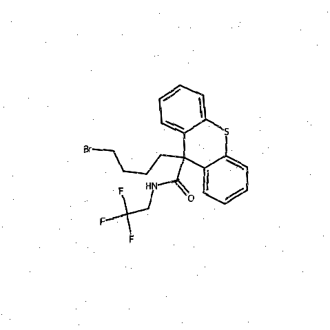 O=C(NCC(F)(F)F)C1(CCCCBr)c2ccccc2Sc2ccccc21